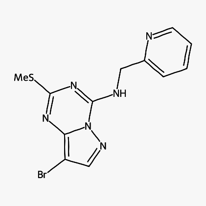 CSc1nc(NCc2ccccn2)n2ncc(Br)c2n1